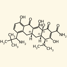 CN(C)[C@@H]1C(O)=C(C(N)=O)C(=O)[C@@]2(O)C(O)=C3C(=O)c4c(O)ccc(C(N)C(C)(C)C)c4C[C@H]3C[C@@H]12